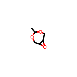 CC1OCC2OC2CO1